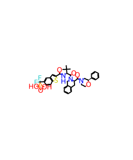 CC(C)(C)[C@H](NC(=O)c1cc2cc(C(F)(F)P(=O)(O)O)ccc2s1)C(=O)N1Cc2ccccc2CC1C(=O)N1CCO[C@H](c2ccccc2)C1